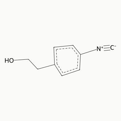 [C-]#[N+]c1ccc(CCO)cc1